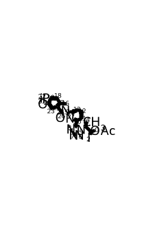 CC(=O)OC(I)C(C)n1nnnc1-c1cccc(N2Cc3ccc(OC(C)C)cc3C2=O)n1